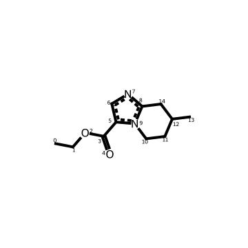 CCOC(=O)c1cnc2n1CCC(C)C2